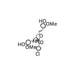 COc1cc(C=CC(=O)CC(C=Cc2ccc(O)c(OC)c2)=NNC(=O)c2ccc(Cl)cc2)ccc1O